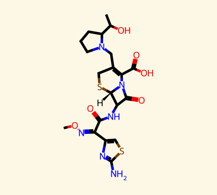 CO/N=C(\C(=O)NC1C(=O)N2C(C(=O)O)=C(CN3CCCC3C(C)O)CS[C@@H]12)c1csc(N)n1